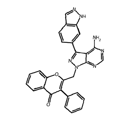 Nc1ncnc2c1c(-c1ccc3cn[nH]c3c1)nn2Cc1oc2ccccc2c(=O)c1-c1ccccc1